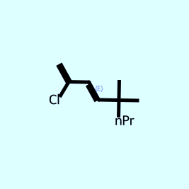 C=C(Cl)/C=C/C(C)(C)CCC